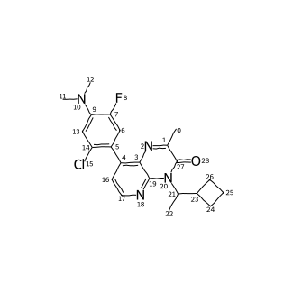 Cc1nc2c(-c3cc(F)c(N(C)C)cc3Cl)ccnc2n(C(C)C2CCC2)c1=O